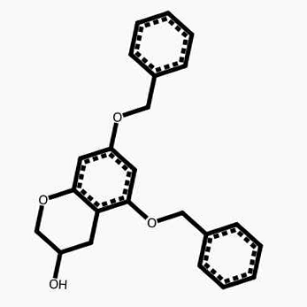 OC1COc2cc(OCc3ccccc3)cc(OCc3ccccc3)c2C1